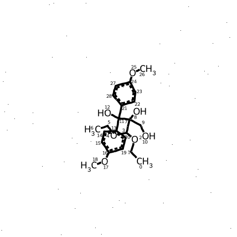 CCOC(OCC)C(O)(CO)C(O)(c1ccc(OC)cc1)c1ccc(OC)cc1